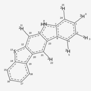 [2H]c1c([2H])c([2H])c2c([nH]c3c([2H])c4sc5ccccc5c4c([2H])c32)c1[2H]